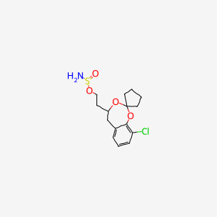 NS(=O)OCCC1Cc2cccc(Cl)c2OC2(CCCC2)O1